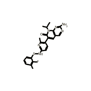 Cc1cccc(SNc2ccc(-c3cc4cnc(N)nc4n(C(C)C)c3=O)c(C)n2)c1F